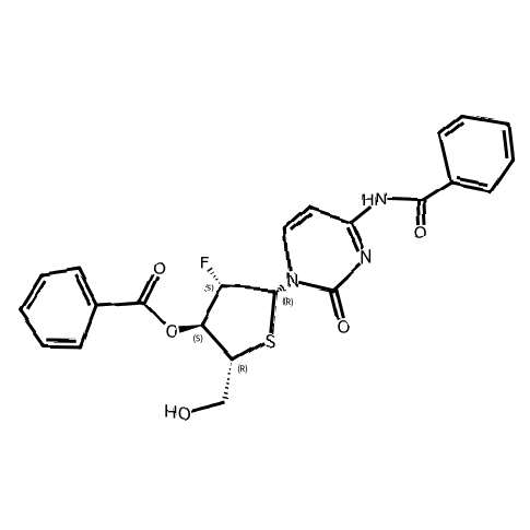 O=C(Nc1ccn([C@@H]2S[C@H](CO)[C@@H](OC(=O)c3ccccc3)[C@@H]2F)c(=O)n1)c1ccccc1